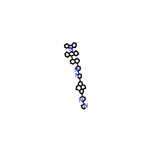 c1ccc(-c2ccc(-c3cc4ccc5cc(-c6ccc(-c7ccc(-c8cccc9c(-c%10c%11ccccc%11c(-n%11c%12ccccc%12c%12ccccc%12%11)c%11ccccc%10%11)cccc89)cn7)nc6)cc6ccc(c3)c4c56)cn2)nc1